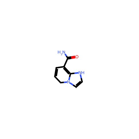 NC(=O)C1=C2NC=[C]N2CC=C1